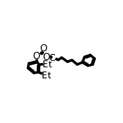 CCc1cccc(OC(=O)OCCCCCCc2ccccc2)c1CC